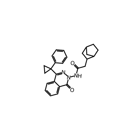 O=C(CC1CC2CCC1C2)Nn1nc(C2(c3ccccc3)CC2)c2ccccc2c1=O